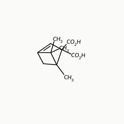 CC1(C)C2=CC(C(=O)O)(C(=O)O)C1(C)C2